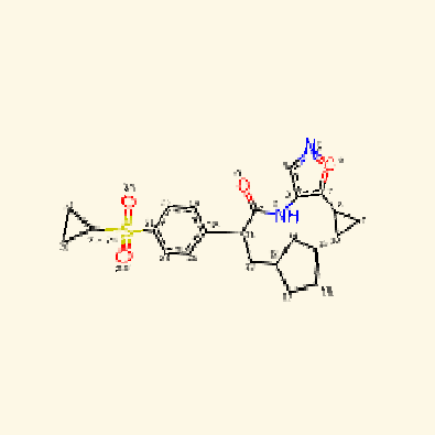 O=C(Nc1cnoc1C1CC1)C(CC1CCCC1)c1ccc(S(=O)(=O)C2CC2)cc1